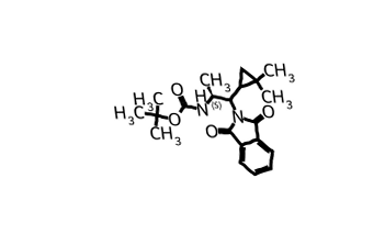 C[C@H](NC(=O)OC(C)(C)C)C(C1CC1(C)C)N1C(=O)c2ccccc2C1=O